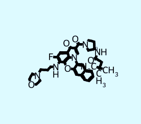 CC(C)(C)CC(=O)N[C@@H]1CCN(C(=O)c2cn3c4c(c(NCCCN5CCOCC5)c(F)cc4c2=O)Oc2cc4ccccc4cc2-3)C1